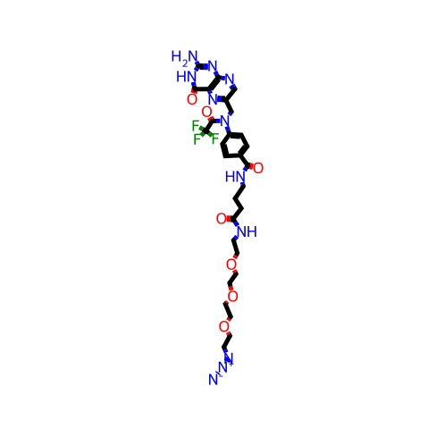 [N-]=[N+]=NCCOCCOCCOCCNC(=O)CCCNC(=O)c1ccc(N(Cc2cnc3nc(N)[nH]c(=O)c3n2)C(=O)C(F)(F)F)cc1